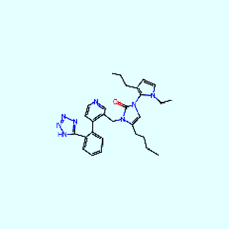 CCCCc1cn(-c2c(CCC)ccn2CC)c(=O)n1Cc1cnccc1-c1ccccc1-c1nnn[nH]1